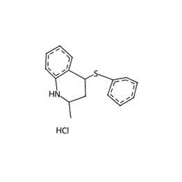 CC1CC(Sc2ccccc2)c2ccccc2N1.Cl